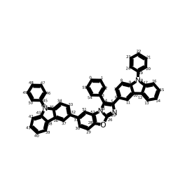 c1ccc(-c2c(-c3ccc4c(c3)c3ccccc3n4-c3ccccc3)nc3oc4ccc(-c5ccc6c(c5)c5ccccc5n6-c5ccccc5)cc4n23)cc1